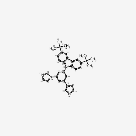 CC(C)(C)c1ccc2c(c1)c1cc(C(C)(C)C)ccc1n2-c1cc(-n2ccnc2)cc(-n2ccnc2)c1